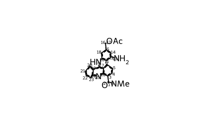 CNC(=O)c1cccc2c(Nc3cc(N)cc(COC(C)=O)c3)c3ccccc3nc12